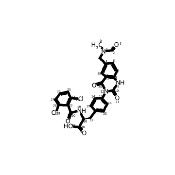 CN(C=O)Cc1ccc2[nH]c(=O)n(-c3ccc(C[C@H](NC(=O)c4c(Cl)cccc4Cl)C(=O)O)cc3)c(=O)c2c1